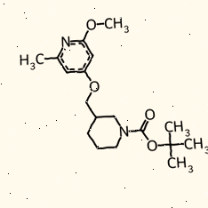 COc1cc(OCC2CCCN(C(=O)OC(C)(C)C)C2)cc(C)n1